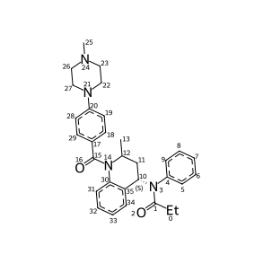 CCC(=O)N(c1ccccc1)[C@H]1CC(C)N(C(=O)c2ccc(N3CCN(C)CC3)cc2)c2ccccc21